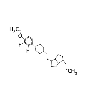 CCCC1CCC2C(CCC3CCC(c4ccc(OCC)c(F)c4F)CC3)CCC12